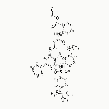 CCOC(=O)c1ccccc1NC(=O)CCOc1nc(-c2ncccn2)nc(NS(=O)(=O)c2ccc(C(C)(C)C)cc2)c1Oc1ccccc1OC